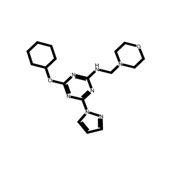 c1cnn(-c2nc(NCN3CCOCC3)nc(OC3CCCCC3)n2)c1